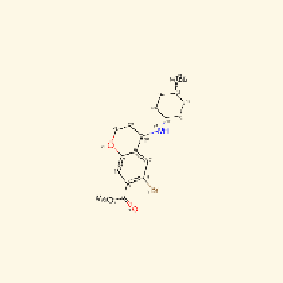 COC(=O)c1cc2c(cc1Br)C(N[C@H]1CC[C@H](C(C)(C)C)CC1)CCO2